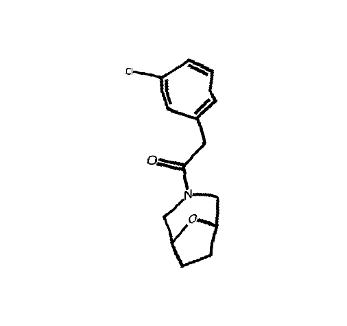 O=C(Cc1cccc(Cl)c1)N1CC2CCC(C1)O2